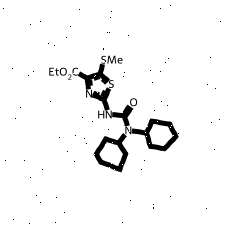 CCOC(=O)c1nc(NC(=O)N(C2CCCCC2)C2CCCCC2)sc1SC